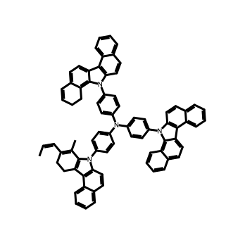 C/C=C\C1=C(C)c2c(c3c4ccccc4ccc3n2-c2ccc(N(c3ccc(-n4c5ccc6ccccc6c5c5ccc6c(c54)CCC=C6)cc3)c3ccc(-n4c5ccc6ccccc6c5c5ccc6ccccc6c54)cc3)cc2)CC1